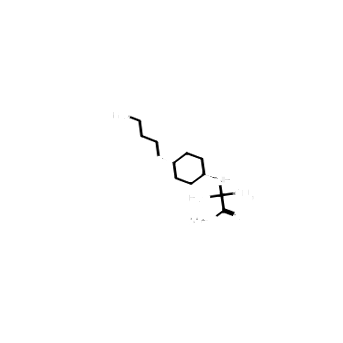 COC(=O)C(C)(C)N[C@H]1CC[C@H](CCCCO)CC1